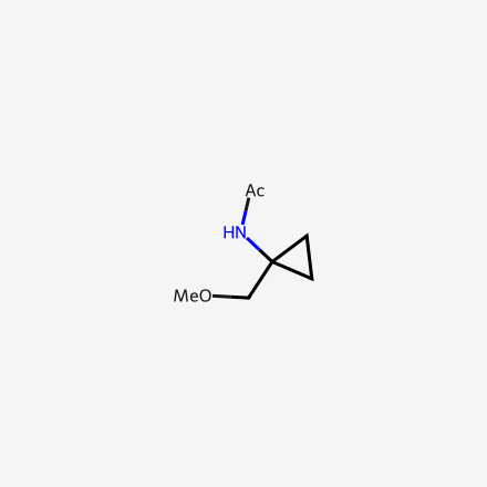 COCC1(NC(C)=O)CC1